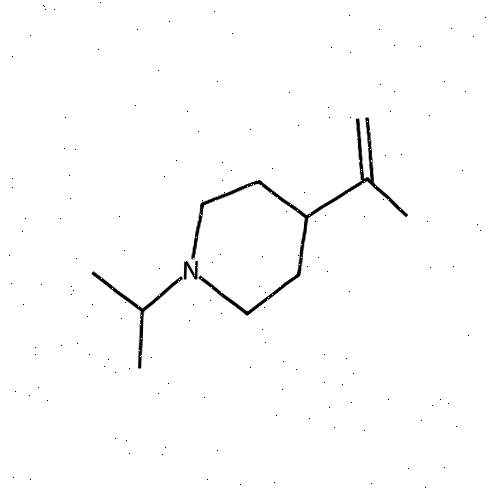 C=C(C)C1CCN(C(C)C)CC1